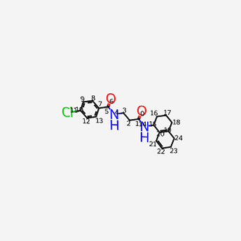 O=C(CCNC(=O)c1ccc(Cl)cc1)NC1CCCC2=C1C=CCC2